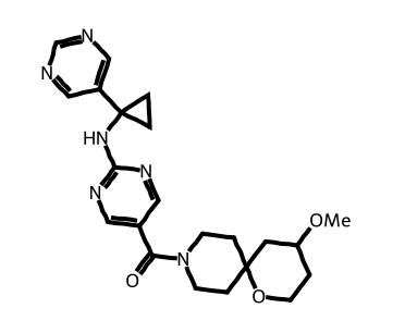 COC1CCOC2(CCN(C(=O)c3cnc(NC4(c5cncnc5)CC4)nc3)CC2)C1